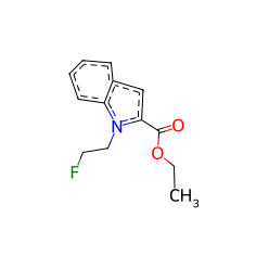 CCOC(=O)c1cc2ccccc2n1CCF